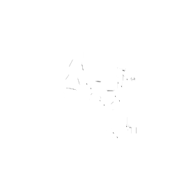 [2H][C@]1(F)CN2CCC[C@@]2(COc2nc(N3C[C@H]4CC[C@@H](C3)N4)c3ccn(-c4cc(O)cc5ccc(F)c(CC)c45)c(=O)c3n2)C1